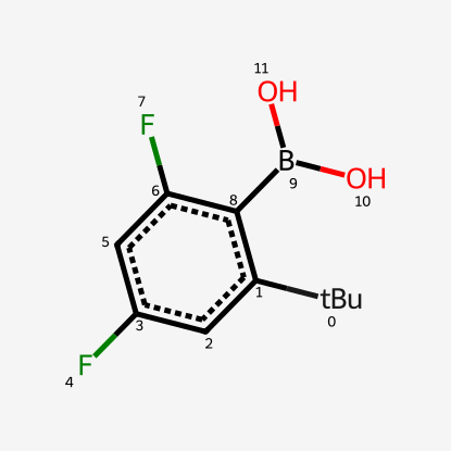 CC(C)(C)c1cc(F)cc(F)c1B(O)O